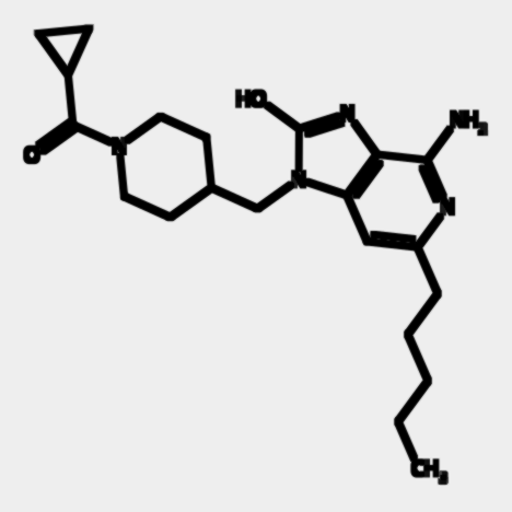 CCCCCc1cc2c(nc(O)n2CC2CCN(C(=O)C3CC3)CC2)c(N)n1